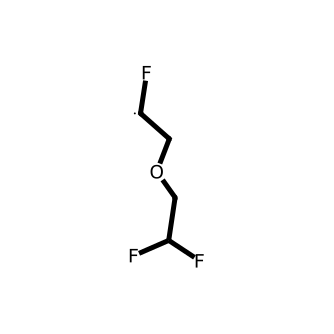 F[CH]COCC(F)F